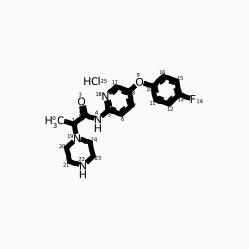 CC(C(=O)Nc1ccc(Oc2ccc(F)cc2)cn1)N1CCNCC1.Cl